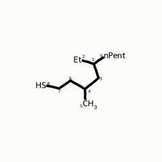 CCCCCC(CC)CC(C)CCS